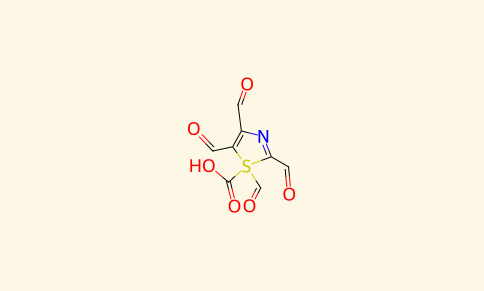 O=CC1=NC(C=O)=C(C=O)S1(C=O)C(=O)O